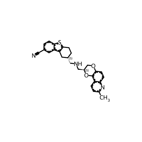 Cc1ccc2c3c(ccc2n1)OC[C@H](CNC[C@H]1CCc2sc4ccc(C#N)cc4c2C1)O3